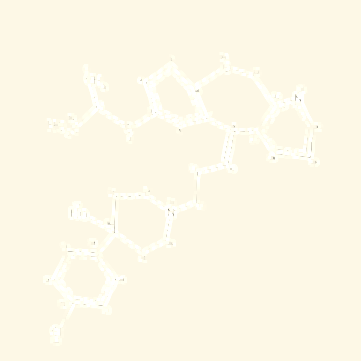 CC(Oc1ccc2c(c1)C(=CCCN1CCC(O)(c3ccc(Cl)cc3)CC1)c1cccnc1CO2)C(=O)O